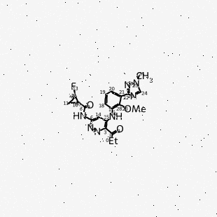 CCC(=O)c1nnc(NC(=O)[C@H]2C[C@H]2F)cc1Nc1cccc(-c2ncn(C)n2)c1OC